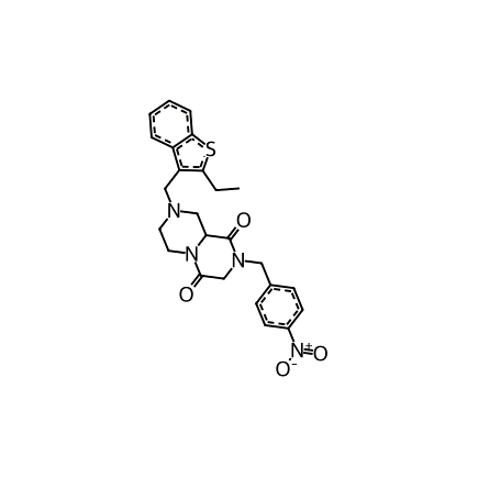 CCc1sc2ccccc2c1CN1CCN2C(=O)CN(Cc3ccc([N+](=O)[O-])cc3)C(=O)C2C1